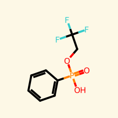 O=P(O)(OCC(F)(F)F)c1ccccc1